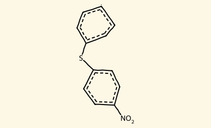 O=[N+]([O-])c1ccc(Sc2cc[c]cc2)cc1